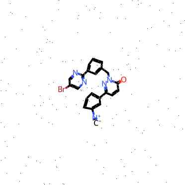 [C-]#[N+]c1cccc(-c2ccc(=O)n(Cc3cccc(-c4ncc(Br)cn4)c3)n2)c1